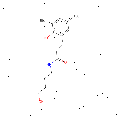 CC(C)(C)c1cc(CCC(=O)NCCCCO)c(O)c(C(C)(C)C)c1